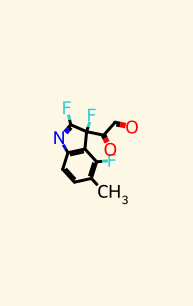 Cc1ccc2c(c1F)C(F)(C(=O)C=O)C(F)=N2